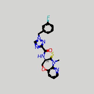 CN1C(=S)[C@@H](NC(=O)c2ncn(Cc3cccc(F)c3)n2)COc2cccnc21